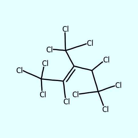 ClC(=C(C(Cl)C(Cl)(Cl)Cl)C(Cl)(Cl)Cl)C(Cl)(Cl)Cl